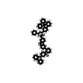 C1=CC(C2CC(c3ccccc3)=NC(c3ccc4c(c3)oc3ccc(-c5cccc6sc7c(c56)C=CC(n5c6ccccc6c6ccccc65)C7)cc34)=N2)CC2=C1c1ccccc1C2(c1ccccc1)c1ccccc1